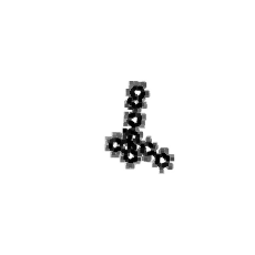 c1ccc(-c2ccc(-c3cc(-c4ccc(-c5cc6ccccc6s5)cc4)nc(-c4ccccc4-c4ccccc4)n3)cc2)cc1